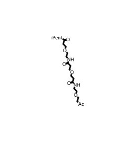 CCCC(C)C(=O)CCOCCNC(=O)CCOCCC(=O)NCCOCCC(C)=O